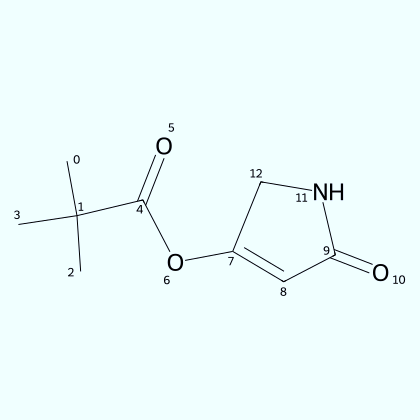 CC(C)(C)C(=O)OC1=CC(=O)NC1